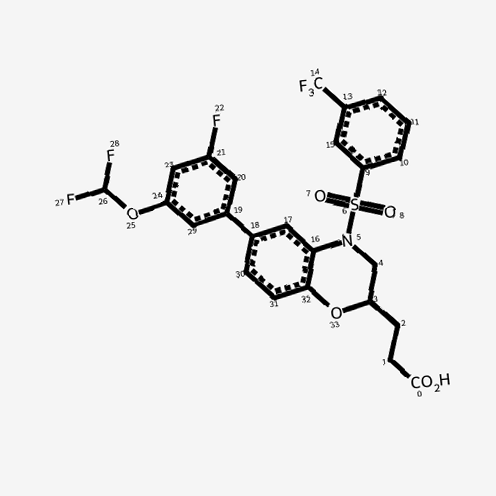 O=C(O)CCC1CN(S(=O)(=O)c2cccc(C(F)(F)F)c2)c2cc(-c3cc(F)cc(OC(F)F)c3)ccc2O1